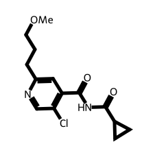 COCCCc1cc(C(=O)NC(=O)C2CC2)c(Cl)cn1